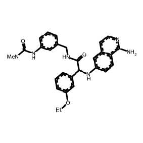 CCOc1cccc(C(Nc2ccc3c(N)nccc3c2)C(=O)NCc2cccc(NC(=O)NC)c2)c1